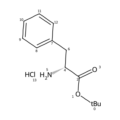 CC(C)(C)OC(=O)[C@H](N)Cc1ccccc1.Cl